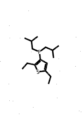 CCc1cc(P(CC(C)C)CC(C)C)c(CC)s1